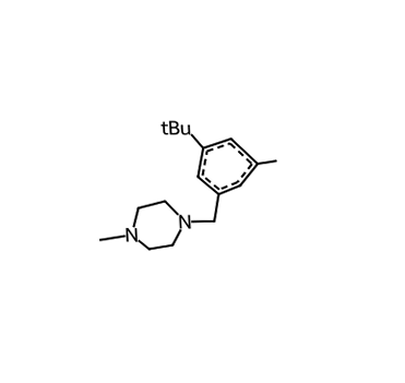 Cc1cc(CN2CCN(C)CC2)cc(C(C)(C)C)c1